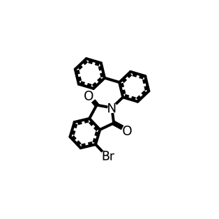 O=C1c2cccc(Br)c2C(=O)N1c1ccccc1-c1ccccc1